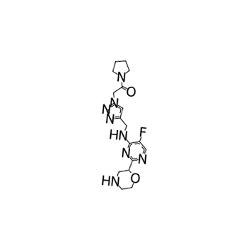 O=C(Cn1cc(CNc2nc(C3CNCCO3)ncc2F)nn1)N1CCCC1